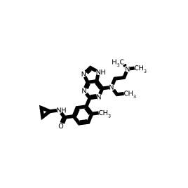 CCN(CCN(C)C)c1nc(-c2cc(C(=O)NC3CC3)ccc2C)nc2nc[nH]c12